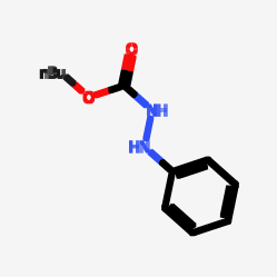 CCCCOC(=O)NNc1ccccc1